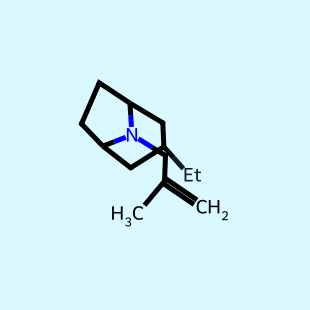 C=C(C)CN1C2CCC1CC(CC)C2